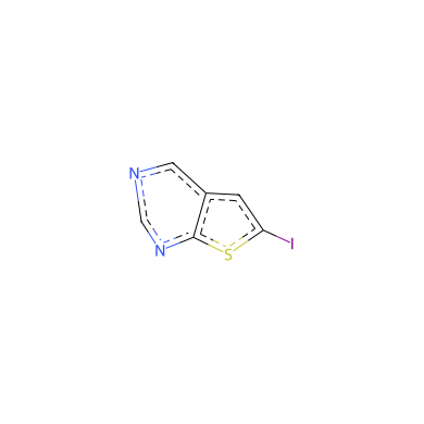 Ic1cc2cncnc2s1